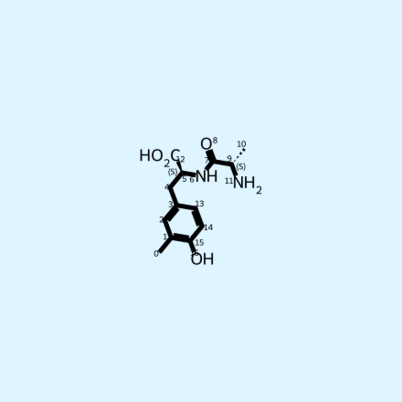 Cc1cc(C[C@H](NC(=O)[C@H](C)N)C(=O)O)ccc1O